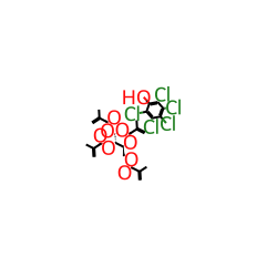 C=C(C)C(=O)OC[C@H](OC(=O)C(=C)C)[C@@H](COC(=O)C(=C)C)OC(=O)C(=C)C.Oc1c(Cl)c(Cl)c(Cl)c(Cl)c1Cl